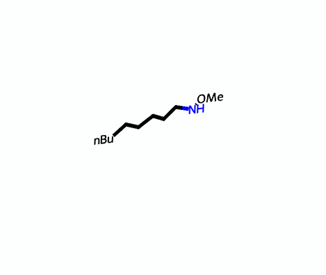 CCCCCCCCCNOC